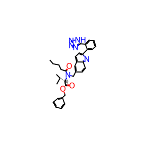 CCCCC(=O)N(Cc1ccc2nc(-c3ccccc3-c3nnn[nH]3)ccc2c1)[C@H](C(=O)OCc1ccccc1)C(C)C